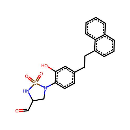 O=CC1CN(c2ccc(CCc3cccc4ccccc34)cc2O)S(=O)(=O)N1